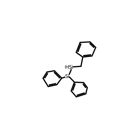 c1ccc(C[SiH][Si](c2ccccc2)c2ccccc2)cc1